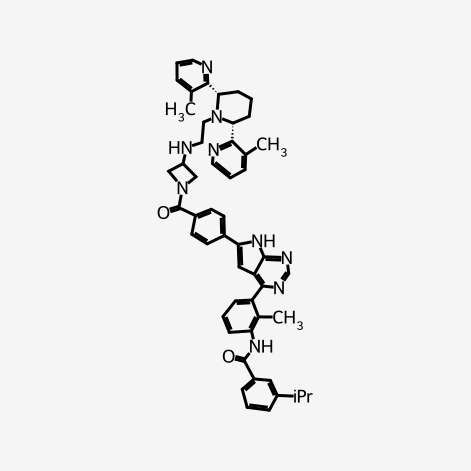 Cc1cccnc1[C@H]1CCC[C@@H](c2ncccc2C)N1CCNC1CN(C(=O)c2ccc(-c3cc4c(-c5cccc(NC(=O)c6cccc(C(C)C)c6)c5C)ncnc4[nH]3)cc2)C1